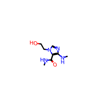 CNC(=O)c1c(NC)ncn1CCO